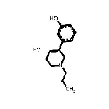 CCCN1CCC=C(c2cccc(O)c2)C1.Cl